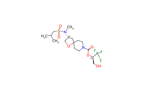 CC(C)CS(=O)(=O)N(C)[C@H]1COC2(CCN(C(=O)O[C@H](CO)C(F)(F)F)CC2)C1